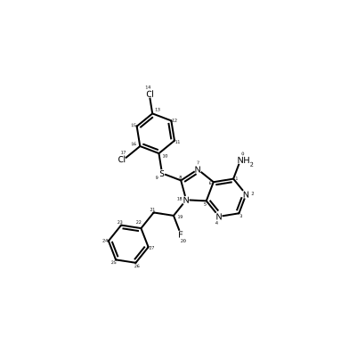 Nc1ncnc2c1nc(Sc1ccc(Cl)cc1Cl)n2C(F)Cc1ccccc1